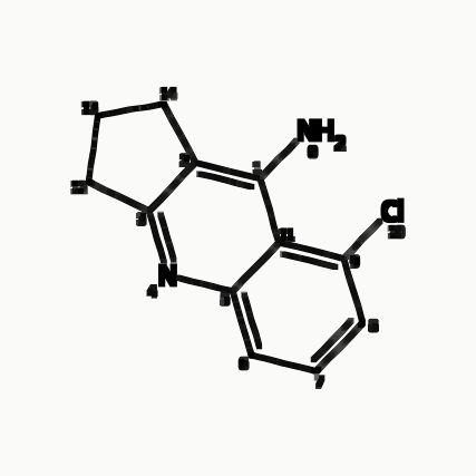 Nc1c2c(nc3cccc(Cl)c13)CCC2